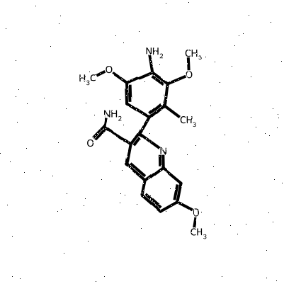 COc1ccc2cc(C(N)=O)c(-c3cc(OC)c(N)c(OC)c3C)nc2c1